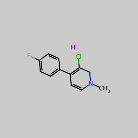 CN1C=CC(c2ccc(F)cc2)=C(Cl)C1.I